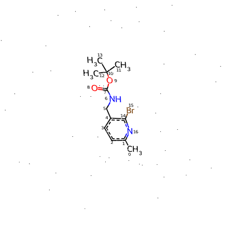 Cc1ccc(CNC(=O)OC(C)(C)C)c(Br)n1